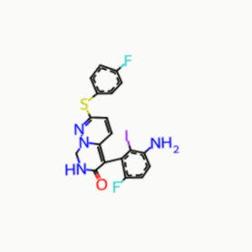 Nc1ccc(F)c(C2=C3C=CC(Sc4ccc(F)cc4)=NN3CNC2=O)c1I